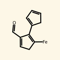 O=CC1=CC[C]([Fe])=C1C1=CC=CC1